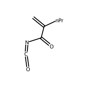 C=C(CCC)C(=O)N=C=O